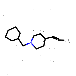 C/C=C/C1CCN(CC2CCCCC2)CC1